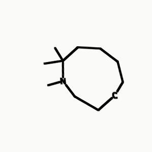 CN1CCCCCCCC1(C)C